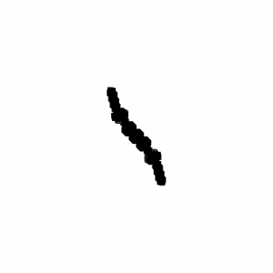 CCCCCCCC[C@@H]1CO[C@@H](CC[C@H]2CC[C@H](c3ccc([C@H]4CC[C@H](CC[C@@H]5OC[C@@H](CCCCCCCC)C(C)O5)CC4)cc3)CC2)OC1C